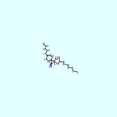 CCCCCCCC1COC(C2(C#N)CCC(CCCCC)CC2)OC1